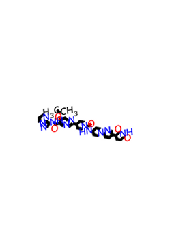 CC(C)Oc1cc2nc(C3CCN(C(=O)NC4CCN(c5ccc(C6CCC(=O)NC6=O)cn5)CC4)CC3)cn2cc1C(=O)Nc1cnn2cccnc12